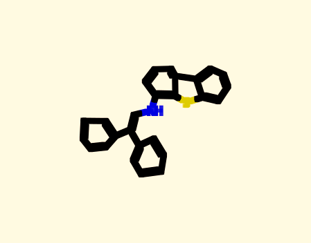 C(Nc1cccc2c1sc1ccccc12)=C(c1ccccc1)c1ccccc1